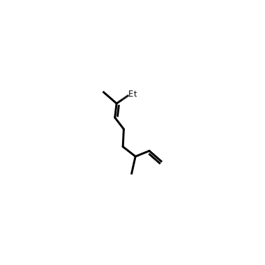 C=C[C](C)CC/C=C(/C)CC